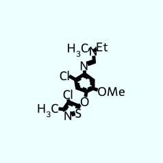 CCN(C)C=Nc1cc(OC)c(Oc2snc(C)c2Cl)cc1Cl